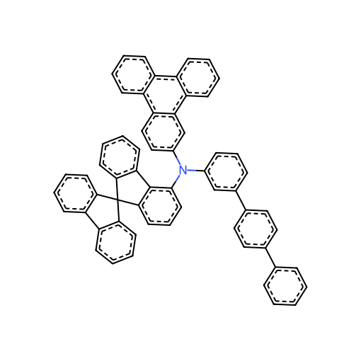 c1ccc(-c2ccc(-c3cccc(N(c4ccc5c6ccccc6c6ccccc6c5c4)c4cccc5c4-c4ccccc4C54c5ccccc5-c5ccccc54)c3)cc2)cc1